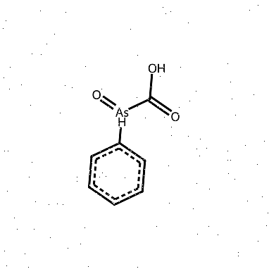 O=C(O)[AsH](=O)c1ccccc1